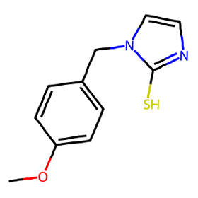 COc1ccc(Cn2ccnc2S)cc1